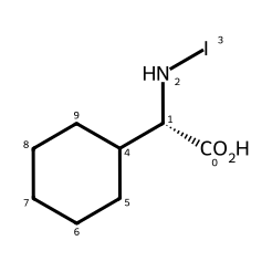 O=C(O)[C@@H](NI)C1CCCCC1